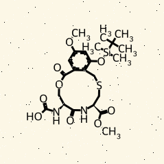 COC(=O)[C@@H]1CSCc2c(O[Si](C)(C)C(C)(C)C)cc(OC)cc2C(=O)OC[C@H](NC(=O)O)C(=O)N1